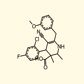 COc1cccc(CC2=C(C#N)C(c3ccc(F)cc3Cl)C(C)(C(=O)O)C(C)N2)c1